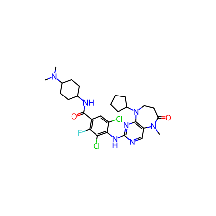 CN1C(=O)CCN(C2CCCC2)c2nc(Nc3c(Cl)cc(C(=O)NC4CCC(N(C)C)CC4)c(F)c3Cl)ncc21